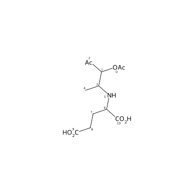 CC(=O)OC(C(C)=O)C(C)NC(CCC(=O)O)C(=O)O